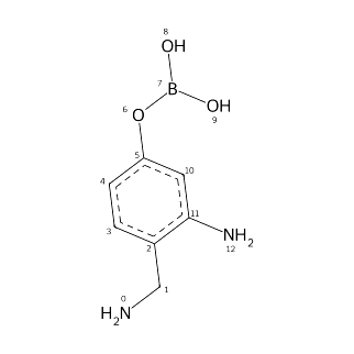 NCc1ccc(OB(O)O)cc1N